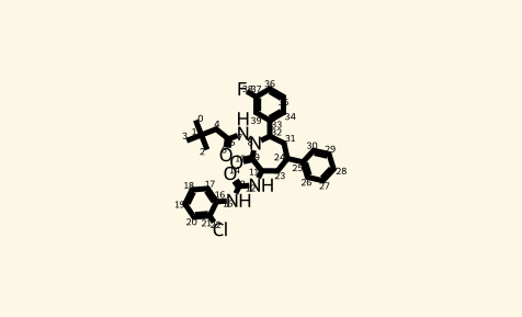 CC(C)(C)CC(=O)NN1C(=O)C(NC(=O)Nc2ccccc2Cl)CC(c2ccccc2)CC1c1cccc(F)c1